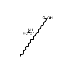 CCCCCCCCCCCCCCCCCCCCCC(=O)O.NC(=O)O